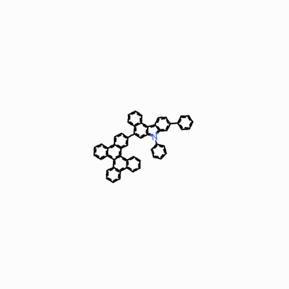 c1ccc(-c2ccc3c4c5ccccc5c(-c5ccc6c7ccccc7c7c8ccccc8c8ccccc8c7c6c5)cc4n(-c4ccccc4)c3c2)cc1